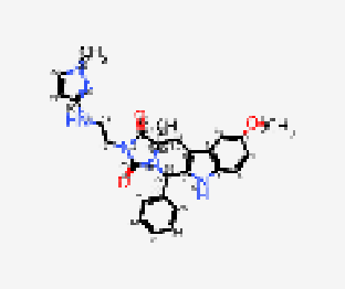 COc1ccc2[nH]c3c(c2c1)C[C@@]1(C)C(=O)N(CCNc2ccn(C)n2)C(=O)N1[C@@H]3c1ccccc1